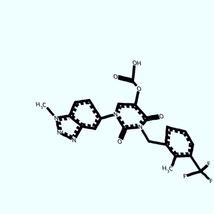 Cc1c(Cn2c(=O)c(OC(=O)O)cn(-c3ccc4c(c3)nnn4C)c2=O)cccc1C(F)(F)F